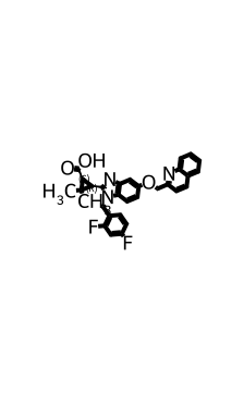 CC1(C)[C@H](c2nc3cc(OCc4ccc5ccccc5n4)ccc3n2Cc2ccc(F)cc2F)[C@@H]1C(=O)O